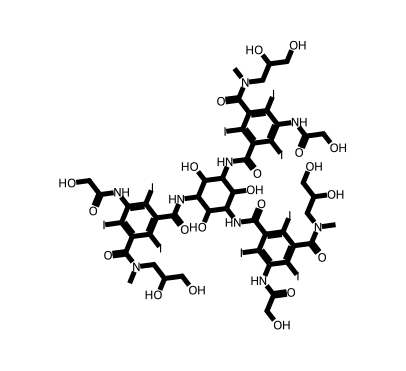 CN(CC(O)CO)C(=O)c1c(I)c(NC(=O)CO)c(I)c(C(=O)NC2C(O)C(NC(=O)c3c(I)c(NC(=O)CO)c(I)c(C(=O)N(C)CC(O)CO)c3I)C(O)C(NC(=O)c3c(I)c(NC(=O)CO)c(I)c(C(=O)N(C)CC(O)CO)c3I)C2O)c1I